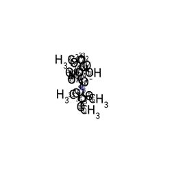 COc1cc(OC)c(/C=C/[S+]([O-])Cc2cc(C(=O)O)c(-c3ccccc3OC)cc2[N+](=O)[O-])c(OC)c1